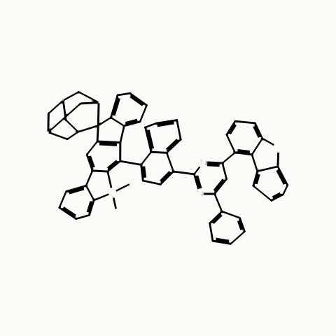 CS1(C)c2ccccc2-c2cc3c(c(-c4ccc(-c5nc(-c6ccccc6)cc(-c6cccc7oc8ccccc8c67)n5)c5ccccc45)c21)-c1ccccc1C31C2CC3CC(C2)CC1C3